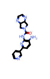 Nc1ccc(-c2cccnc2)nc1NC(=O)N1CC2N=CC=NC2C1